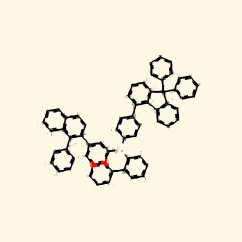 c1ccc(-c2ccccc2N(c2ccc(-c3cccc4c3-c3ccccc3C4(c3ccccc3)c3ccccc3)cc2)c2cccc(-c3ccc4ccccc4c3-c3ccccc3)c2)cc1